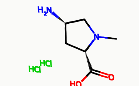 CN1C[C@@H](N)C[C@H]1C(=O)O.Cl.Cl